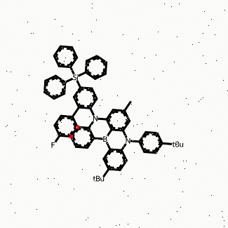 Cc1cc2c3c(c1)N(c1ccc([Si](c4ccccc4)(c4ccccc4)c4ccccc4)cc1-c1ccc(F)cc1)c1ccccc1B3c1cc(C(C)(C)C)ccc1N2c1ccc(C(C)(C)C)cc1